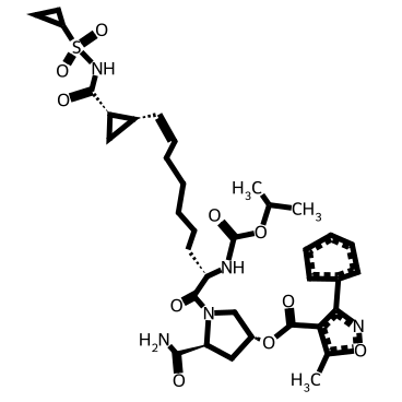 Cc1onc(-c2ccccc2)c1C(=O)O[C@@H]1C[C@@H](C(N)=O)N(C(=O)[C@H](CCCCC/C=C\[C@@H]2C[C@@H]2C(=O)NS(=O)(=O)C2CC2)NC(=O)OC(C)C)C1